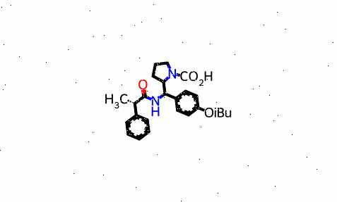 CC(C)COc1ccc(C(NC(=O)[C@@H](C)c2ccccc2)C2CCCN2C(=O)O)cc1